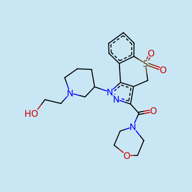 O=C(c1nn(C2CCCN(CCO)C2)c2c1CS(=O)(=O)c1ccccc1-2)N1CCOCC1